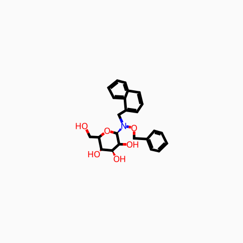 OCC1O[C@@H](N(Cc2cccc3ccccc23)OCc2ccccc2)C(O)[C@@H](O)[C@@H]1O